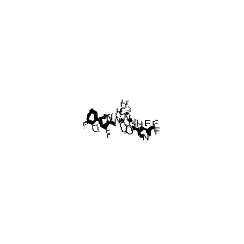 CCN(NC(=O)c1cncc(C(F)(F)F)c1)C(=O)NCc1ncc(-c2cccc(F)c2Cl)cc1F